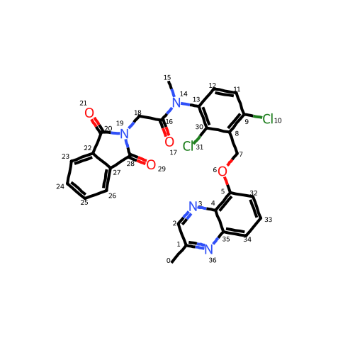 Cc1cnc2c(OCc3c(Cl)ccc(N(C)C(=O)CN4C(=O)c5ccccc5C4=O)c3Cl)cccc2n1